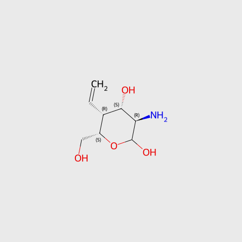 C=C[C@@H]1[C@H](O)[C@@H](N)C(O)O[C@@H]1CO